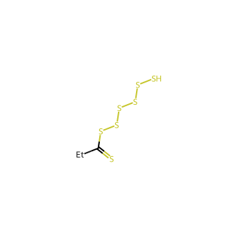 CCC(=S)SSSSSS